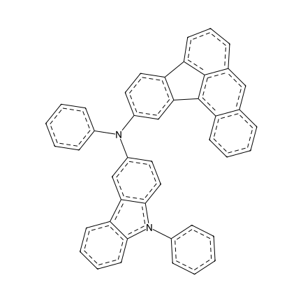 c1ccc(N(c2ccc3c(c2)-c2c4ccccc4cc4cccc-3c24)c2ccc3c(c2)c2ccccc2n3-c2ccccc2)cc1